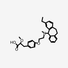 CCc1ccc2c(c1)C(N(C)CCOc1ccc(CC(OC)C(=O)O)cc1)c1ccccc1CC2